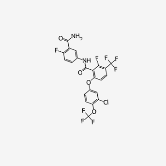 NC(=O)c1cc(NC(=O)c2c(Oc3ccc(OC(F)(F)F)c(Cl)c3)ccc(C(F)(F)F)c2F)ccc1F